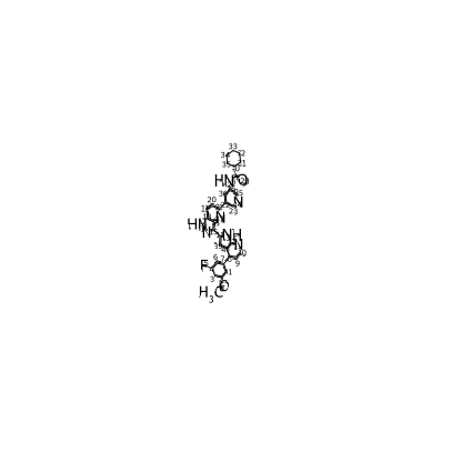 COc1cc(F)cc(-c2ccnc3[nH]c(-c4n[nH]c5ccc(-c6cncc(NC(=O)C7CCCCC7)c6)nc45)cc23)c1